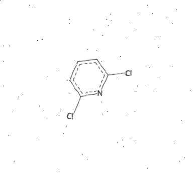 Clc1[c]ccc(Cl)n1